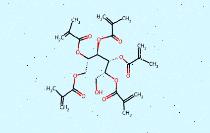 C=C(C)C(=O)OC[C@H](OC(=O)C(=C)C)[C@@H](OC(=O)C(=C)C)[C@H](OC(=O)C(=C)C)[C@@H](CO)OC(=O)C(=C)C